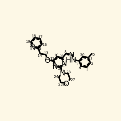 Cc1cccc(N/N=C\c2cc(OCCc3ccccn3)nc(N3CCOCC3)n2)c1